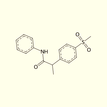 CC(C(=O)Nc1ccccc1)c1ccc(S(C)(=O)=O)cc1